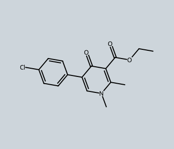 CCOC(=O)c1c(C)n(C)cc(-c2ccc(Cl)cc2)c1=O